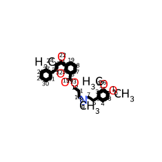 COc1ccc(CCN(C)CCCOC(=O)c2cccc3c(=O)c(C)c(-c4ccccc4)oc23)cc1OC